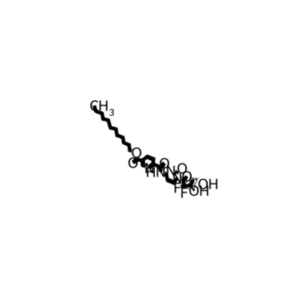 CCCCCCCCCCCCOC(=O)c1ccc(C(=O)Nc2ccn([C@@H]3O[C@H](CO)[C@@H](O)C3(F)F)c(=O)n2)nc1